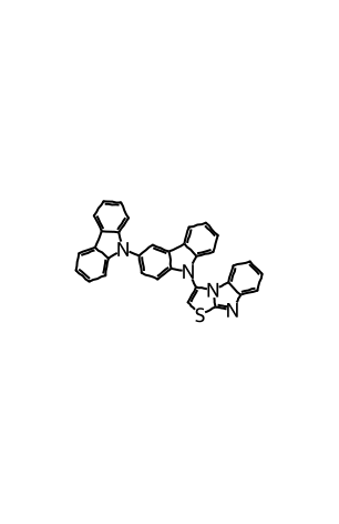 c1ccc2c(c1)nc1scc(-n3c4ccccc4c4cc(-n5c6ccccc6c6ccccc65)ccc43)n12